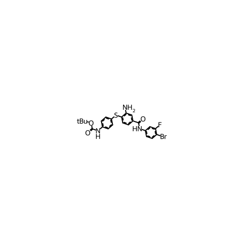 CC(C)(C)OC(=O)Nc1ccc(Sc2ccc(C(=O)Nc3ccc(Br)c(F)c3)cc2N)cc1